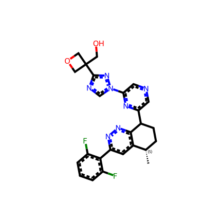 C[C@H]1CCC(c2cncc(-n3cnc(C4(CO)COC4)n3)n2)c2nnc(-c3c(F)cccc3F)cc21